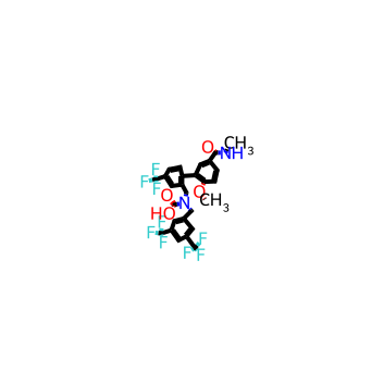 CNC(=O)c1ccc(OC)c(-c2ccc(C(F)(F)F)cc2CN(Cc2cc(C(F)(F)F)cc(C(F)(F)F)c2)C(=O)O)c1